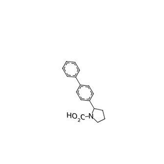 O=C(O)N1CCCC1c1ccc(-c2ccccc2)cc1